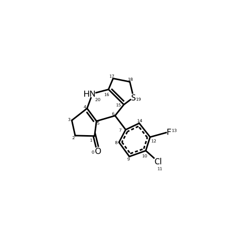 O=C1CCC2=C1C(c1ccc(Cl)c(F)c1)C1=C(CCS1)N2